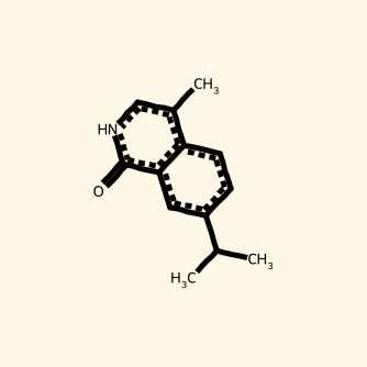 Cc1c[nH]c(=O)c2cc(C(C)C)ccc12